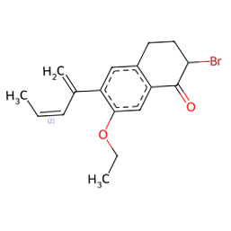 C=C(/C=C\C)c1cc2c(cc1OCC)C(=O)C(Br)CC2